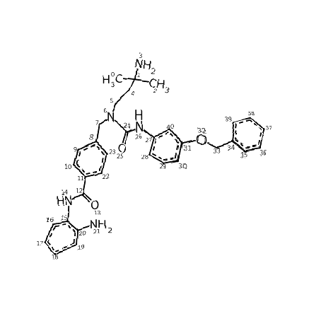 CC(C)(N)CCN(Cc1ccc(C(=O)Nc2ccccc2N)cc1)C(=O)Nc1cccc(OCc2ccccc2)c1